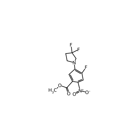 COC(=O)c1cc(N2CCC(F)(F)C2)c(F)cc1[N+](=O)[O-]